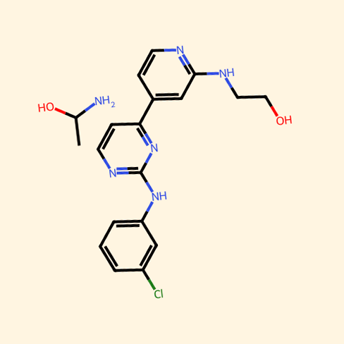 CC(N)O.OCCNc1cc(-c2ccnc(Nc3cccc(Cl)c3)n2)ccn1